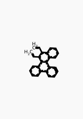 C=Cc1c(C=C)c2c3ccccc3c3ccc#cc3c2c2ccccc12